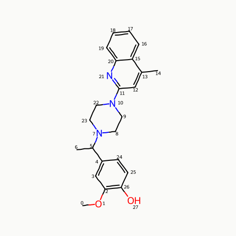 COc1cc(C(C)N2CCN(c3cc(C)c4ccccc4n3)CC2)ccc1O